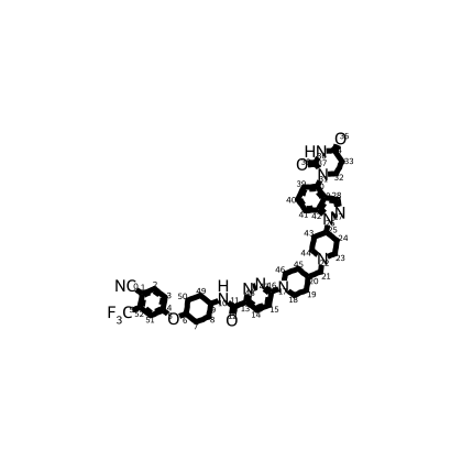 N#Cc1ccc(OC2CCC(NC(=O)c3ccc(N4CCC(CN5CCC(n6ncc7c(N8CCC(=O)NC8=O)cccc76)CC5)CC4)nn3)CC2)cc1C(F)(F)F